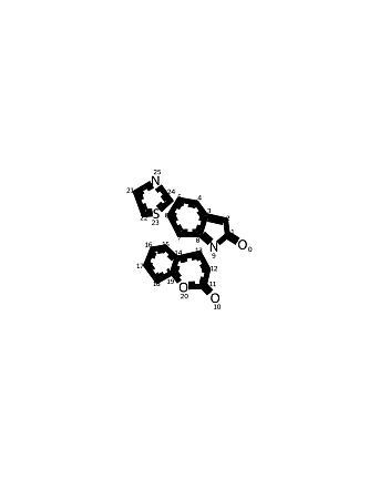 O=C1C=c2ccccc2=N1.O=c1ccc2ccccc2o1.c1cscn1